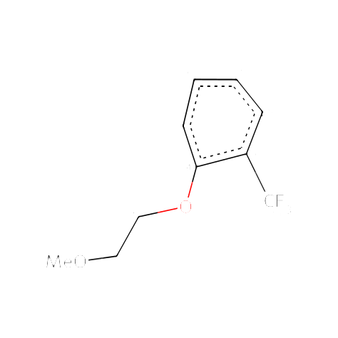 COCCOc1ccc[c]c1C(F)(F)F